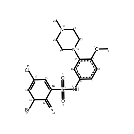 COc1ccc(NS(=O)(=O)C2=CC(Cl)=CC(Br)C2=S)cc1N1CCN(C)CC1